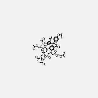 CC(=O)OCOC(=O)CN(CC(=O)OCOC(C)=O)c1cc2c(cc1N(CC(=O)OCOC(C)=O)CC(=O)OCOC(C)=O)C1(OC2=O)c2ccc(OC(C)=O)cc2C(C)(C)c2cc(OC(C)=O)c(Cl)cc21